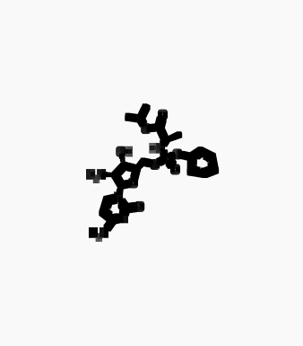 CC(C)OC(=O)[C@@H](C)NP(=O)(OC[C@H]1O[C@@H](n2ccc(N)nc2=O)[C@H](N)[C@@H]1O)Oc1ccccc1